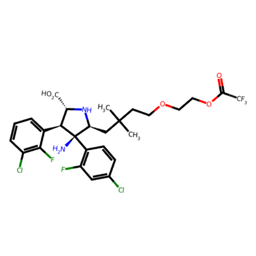 CC(C)(CCOCCOC(=O)C(F)(F)F)C[C@@H]1N[C@@H](C(=O)O)[C@H](c2cccc(Cl)c2F)[C@@]1(N)c1ccc(Cl)cc1F